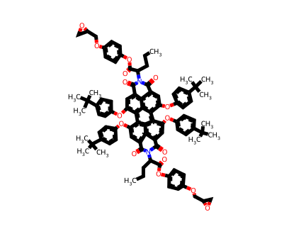 CCCC(C(=O)Oc1ccc(OCC2CO2)cc1)N1C(=O)c2cc(Oc3ccc(C(C)(C)C)cc3)c3c4c(Oc5ccc(C(C)(C)C)cc5)cc5c6c(cc(Oc7ccc(C(C)(C)C)cc7)c(c7c(Oc8ccc(C(C)(C)C)cc8)cc(c2c37)C1=O)c64)C(=O)N(C(CCC)C(=O)Oc1ccc(OCC2CO2)cc1)C5=O